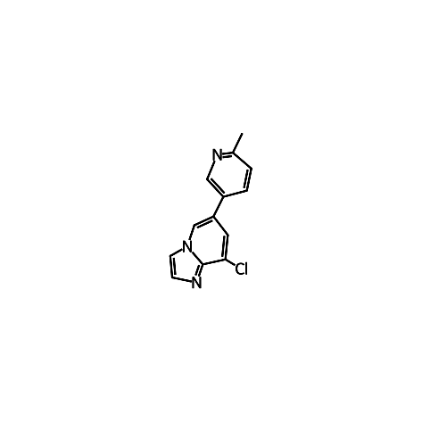 Cc1ccc(-c2cc(Cl)c3nccn3c2)cn1